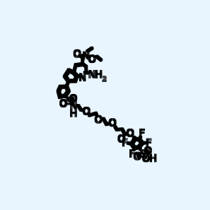 CCON(CC)C(=O)C1=Cc2ccc(-c3cccc(S(=O)(=O)NCCOCCOCCOCCC(=O)Oc4c(F)c(F)c(S(=O)(=O)O)c(F)c4F)c3)cc2N=C(N)C1